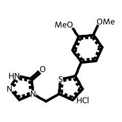 COc1ccc(-c2ccc(Cn3cn[nH]c3=O)s2)cc1OC.Cl